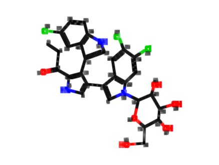 CCC(=O)c1[nH]cc(-c2cn(C3OC(CO)C(O)C(O)C3O)c3cc(Cl)c(Cl)cc23)c1-c1c[nH]c2ccc(Cl)cc12